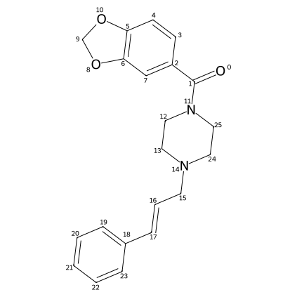 O=C(c1ccc2c(c1)OCO2)N1CCN(C/C=C/c2ccccc2)CC1